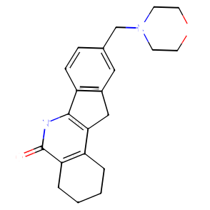 O=c1[nH]c2c(c3c1CCCC3)Cc1cc(CN3CCOCC3)ccc1-2